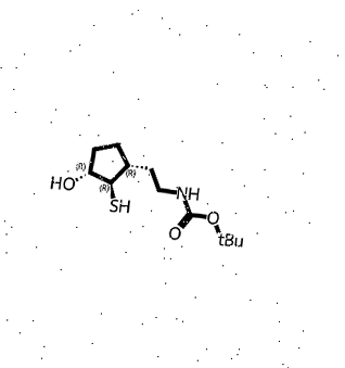 CC(C)(C)OC(=O)NCC[C@H]1CC[C@@H](O)[C@@H]1S